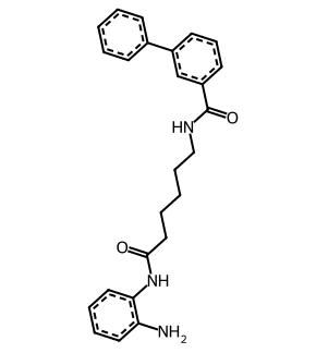 Nc1ccccc1NC(=O)CCCCCNC(=O)c1cccc(-c2ccccc2)c1